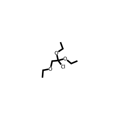 CCOCC(Cl)(OCC)OCC